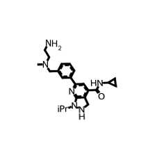 CC(C)N1NCc2c(C(=O)NC3CC3)cc(-c3cccc(CN(C)CCN)c3)nc21